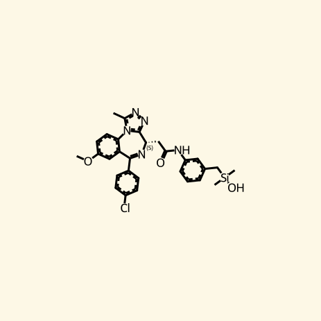 COc1ccc2c(c1)C(c1ccc(Cl)cc1)=N[C@@H](CC(=O)Nc1cccc(C[Si](C)(C)O)c1)c1nnc(C)n1-2